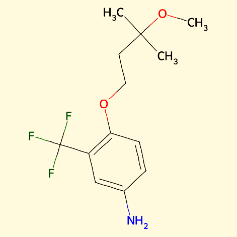 COC(C)(C)CCOc1ccc(N)cc1C(F)(F)F